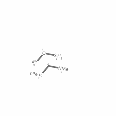 CC(C)O[SiH3].CCCCCCNC